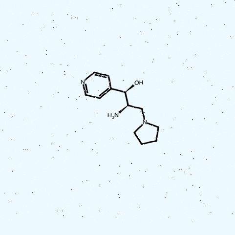 N[C@H](CN1CCCC1)[C@H](O)c1ccncc1